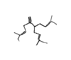 C=C(CC=C(C)C)[C](CC=C(C)C)CC=C(C)C